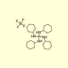 C1CCC(N[P+](NC2CCCCC2)(NC2CCCCC2)NC2CCCCC2)CC1.F[B-](F)(F)F